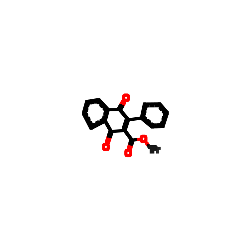 CC(C)OC(=O)C1=C(c2ccccc2)C(=O)c2ccccc2C1=O